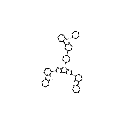 c1ccc(-n2c3ccccc3c3cc(-c4ccc(-n5c6cc(-c7cccc8c7sc7ccccc78)sc6c6sc(-c7cccc8c7sc7ccccc78)cc65)cc4)ccc32)cc1